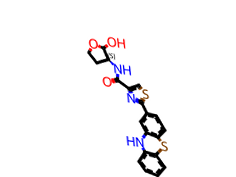 O=C(N[C@H]1CCOC1O)c1csc(-c2ccc3c(c2)Nc2ccccc2S3)n1